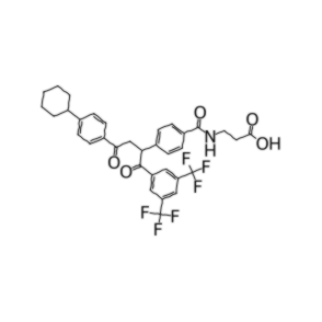 O=C(O)CCNC(=O)c1ccc(C(CC(=O)c2ccc(C3CCCCC3)cc2)C(=O)c2cc(C(F)(F)F)cc(C(F)(F)F)c2)cc1